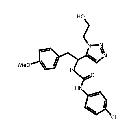 COc1ccc(CC(NC(=O)Nc2ccc(Cl)cc2)c2cnnn2CCO)cc1